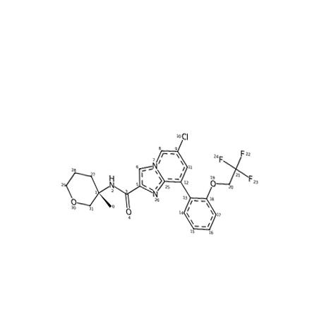 C[C@]1(NC(=O)c2cn3cc(Cl)cc(-c4ccccc4OCC(F)(F)F)c3n2)CCCOC1